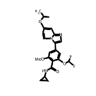 COc1cc(-c2cnc3cc(OC(C)C(F)(F)F)ccn23)cc(OC(F)F)c1C(=O)NC1CC1